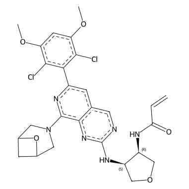 C=CC(=O)N[C@H]1COC[C@H]1Nc1ncc2cc(-c3c(Cl)c(OC)cc(OC)c3Cl)nc(N3CC4CC(C3)O4)c2n1